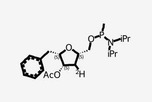 [2H]C1[C@@H](COP(C)N(C(C)C)C(C)C)O[C@@H](Cc2ccccc2)[C@H]1OC(C)=O